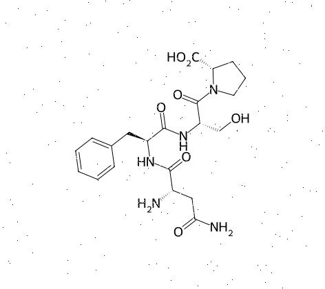 NC(=O)C[C@H](N)C(=O)N[C@@H](Cc1ccccc1)C(=O)N[C@@H](CO)C(=O)N1CCC[C@H]1C(=O)O